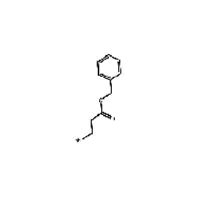 C[C](C)CCC(=O)OCc1ccccc1